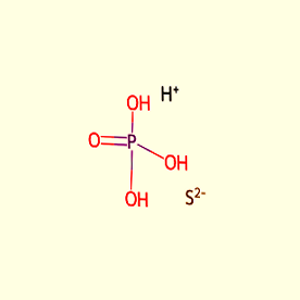 O=P(O)(O)O.[H+].[S-2]